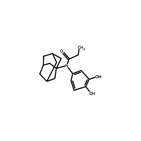 CCC(=O)N(c1ccc(O)c(O)c1)C12CC3CC(CC(C3)C1)C2